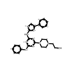 OCCN1CCN(c2nc(Nc3ncc(-c4ccccc4)s3)nc(Sc3ccccc3)n2)CC1